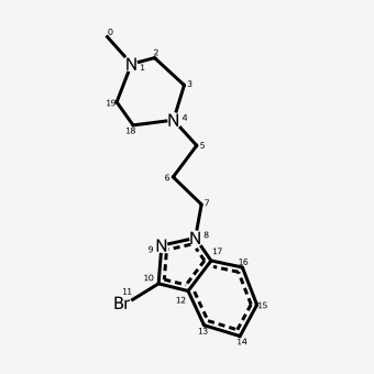 CN1CCN(CCCn2nc(Br)c3ccccc32)CC1